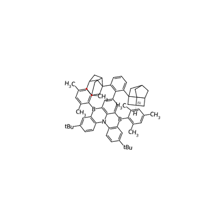 Cc1cc(C)c(B2c3cc(C(C)(C)C)ccc3N3c4ccc(C(C)(C)C)cc4B(c4c(C)cc(C)cc4C)c4cc(-c5c(C67CC8CC(CC6C8)C7)cccc5C56CC7CC8C[C@@H](C5)C86C7)cc2c43)c(C)c1